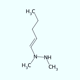 CCCC=CN(C)NC